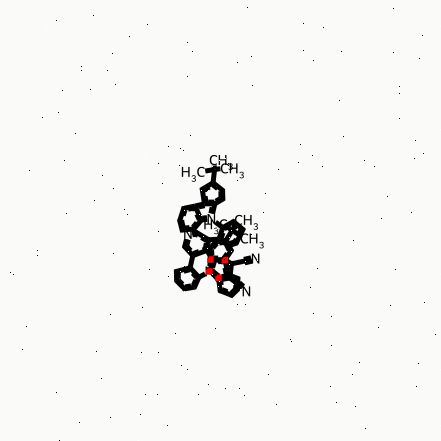 CC(C)(C)c1ccc2c(c1)c1ccccc1n2-c1ccccc1-c1cncc(-c2ccccc2-n2c3ccccc3c3cc(C(C)(C)C)ccc32)c1-c1ccc(C#N)c(C#N)c1